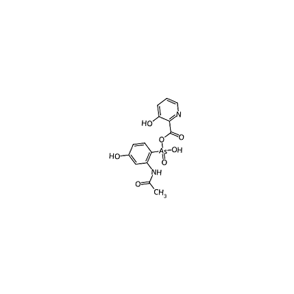 CC(=O)Nc1cc(O)ccc1[As](=O)(O)OC(=O)c1ncccc1O